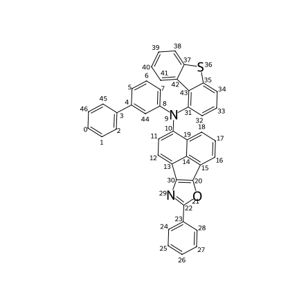 c1ccc(-c2cccc(N(c3ccc4c5c(cccc35)-c3oc(-c5ccccc5)nc3-4)c3cccc4sc5ccccc5c34)c2)cc1